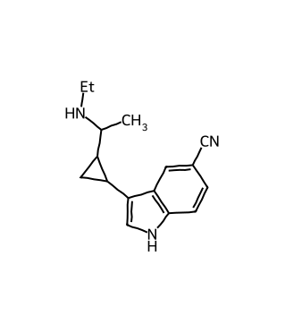 CCNC(C)C1CC1c1c[nH]c2ccc(C#N)cc12